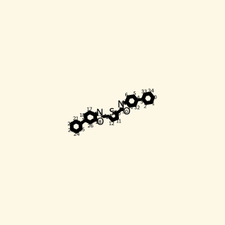 c1ccc(-c2ccc3nc(-c4ccc(-c5nc6ccc(-c7ccccc7)cc6o5)s4)oc3c2)cc1